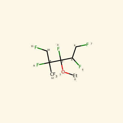 CCOC(F)(C(F)CF)C(F)(CF)C(F)(F)F